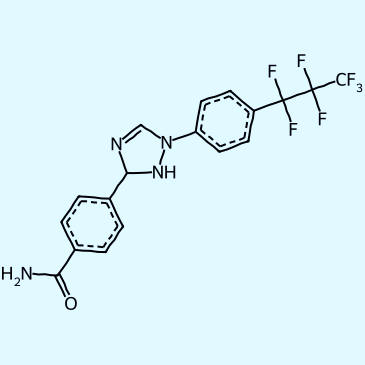 NC(=O)c1ccc(C2N=CN(c3ccc(C(F)(F)C(F)(F)C(F)(F)F)cc3)N2)cc1